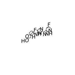 O=C(O)C[C@@H]1C2CCC(CC2)C1Nc1nc(-c2n[nH]c3ncc(F)cc23)ncc1F